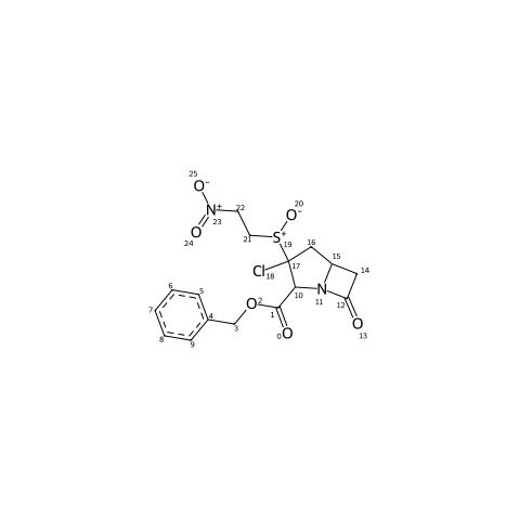 O=C(OCc1ccccc1)C1N2C(=O)CC2CC1(Cl)[S+]([O-])CC[N+](=O)[O-]